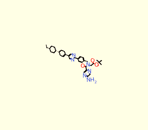 CC[C@H]1CC[C@H](C2CC=C(c3cnc(-c4ccc(CN(CC(=O)OC(C)(C)C)C(=O)c5cnc(N)cn5)cc4)nc3)CC2)CC1